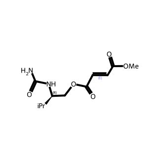 COC(=O)/C=C/C(=O)OC[C@H](NC(N)=O)C(C)C